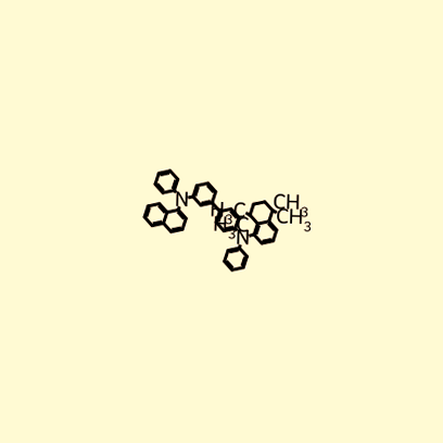 CC1(C)CCC(C)(C)c2c(N(c3ccccc3)c3ccc(-c4cccc(N(c5ccccc5)c5cccc6ccccc56)c4)cc3)cccc21